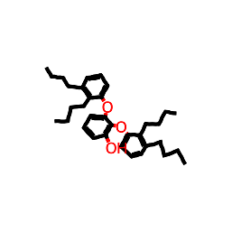 CCCCc1cccc(Oc2cccc(O)c2Oc2cccc(CCCC)c2CCCC)c1CCCC